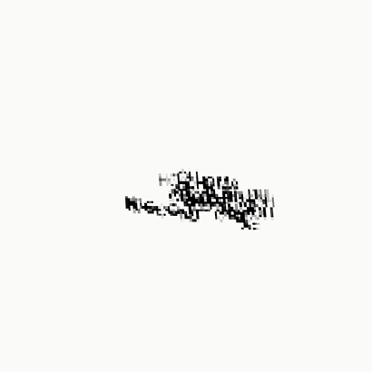 COc1ccc2c(OS(=O)(=O)Oc3cc(C(=O)N(C)CCOCCOCCOCCN=[N+]=[N-])ccc3O[C@@H]3O[C@H](CO)[C@H](O)[C@H](O)C3O)cc3c(c2c1)[C@H](CCl)CN3C(=O)c1cc2cc(C(C)=O)c(OC3O[C@H](CO)[C@H](O)[C@H](O)[C@H]3O)cc2[nH]1